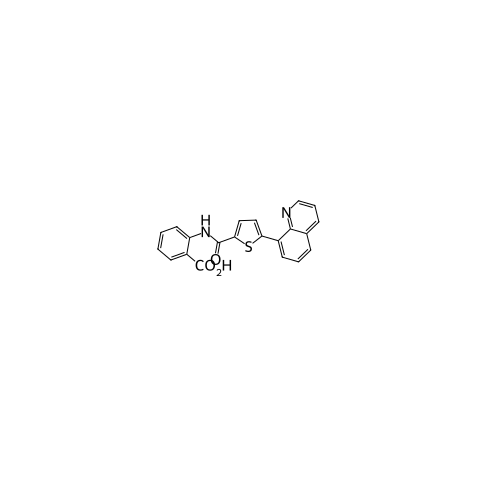 O=C(Nc1ccccc1C(=O)O)c1ccc(-c2cccc3cccnc23)s1